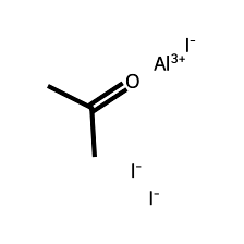 CC(C)=O.[Al+3].[I-].[I-].[I-]